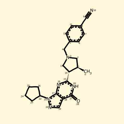 C[C@@H]1CN(Cc2ccc(C#N)cc2)C[C@H]1c1nc2c(cnn2C2CCCC2)c(=O)[nH]1